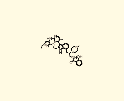 CCOc1nn(CC)cc1Nc1ncc(C)c(-c2c[nH]c3c(C[C@H](CNC(=O)c4ccccc4O)N4CCN(C)CC4)cccc23)n1